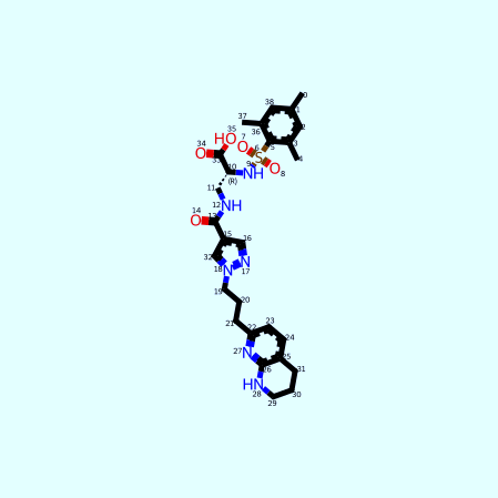 Cc1cc(C)c(S(=O)(=O)N[C@H](CNC(=O)c2cnn(CCCc3ccc4c(n3)NCCC4)c2)C(=O)O)c(C)c1